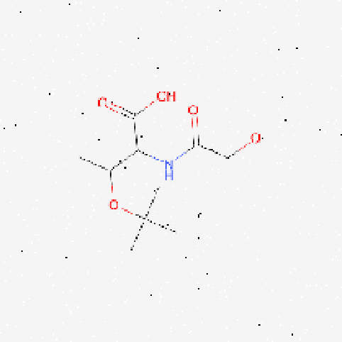 CC(OC(C)(C)C)C(NC(=O)C[O])C(=O)O